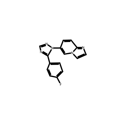 Fc1ccc(-c2ncnn2-c2ccc3nccn3c2)cc1